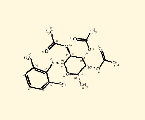 CC(=O)O[C@@H]1[C@H](OC(C)=O)[C@H](C)O[C@H](Sc2c(C)cccc2C)[C@H]1OC(C)=O